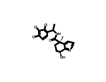 CC(NC(=O)[C@]1(F)CC[C@H](O)c2ncccc21)c1ccc(Cl)c(Cl)c1Cl